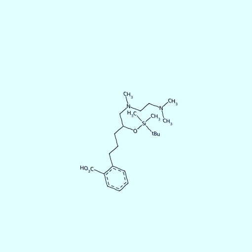 CN(C)CCN(C)CC(CCCc1ccccc1C(=O)O)O[Si](C)(C)C(C)(C)C